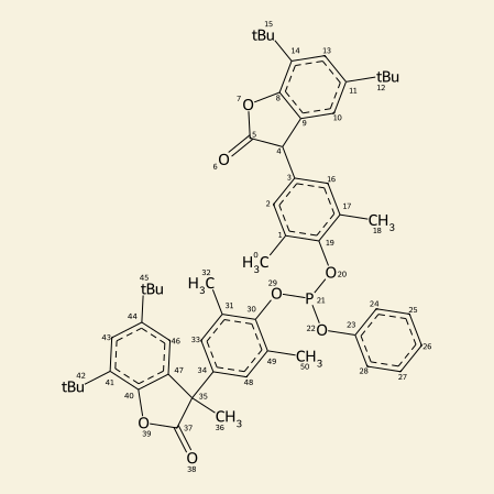 Cc1cc(C2C(=O)Oc3c2cc(C(C)(C)C)cc3C(C)(C)C)cc(C)c1OP(Oc1ccccc1)Oc1c(C)cc(C2(C)C(=O)Oc3c(C(C)(C)C)cc(C(C)(C)C)cc32)cc1C